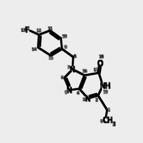 CCc1nc2ncn(Cc3ccc(F)cc3)c2c(=O)[nH]1